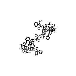 C[C@@H](C(=O)N[C@H](C(=O)N1CC[C@@H]2[C@H]1[C@@H](OC(=O)Nc1ccccc1)CN2C(=O)CNC(=O)C(=O)NCC(=O)N1C[C@H](OC(=O)Nc2ccccc2)[C@@H]2[C@H]1CCN2C(=O)[C@@H](NC(=O)[C@H](C)N(C)C(=O)OCc1ccccc1)C(C)(C)C)C(C)(C)C)N(C)C(=O)OCc1ccccc1